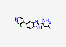 CC(C)C[C@@H](N)c1nc2cc(-c3ccncc3F)ccc2[nH]1